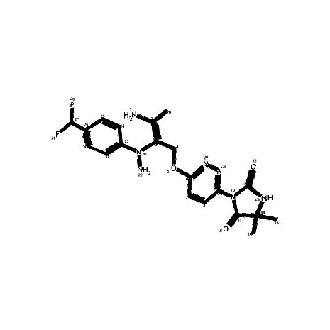 C/C(N)=C(\COc1ccc(N2C(=O)NC(C)(C)C2=O)nn1)N(N)c1ccc(C(F)F)cc1